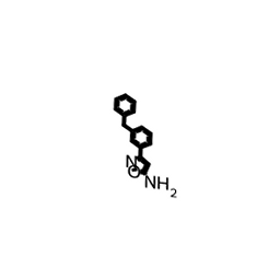 Nc1cc(-c2cccc(Cc3ccccc3)c2)no1